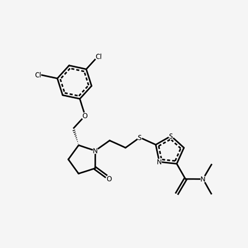 C=C(c1csc(SCCN2C(=O)CC[C@@H]2COc2cc(Cl)cc(Cl)c2)n1)N(C)C